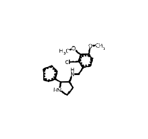 COc1ccc(CNC2CCNC2c2ccccc2)c(Cl)c1OC